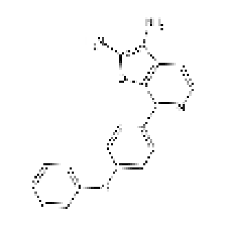 Nc1oc2c(-c3ccc(Oc4ccccc4)cc3)nccc2c1N